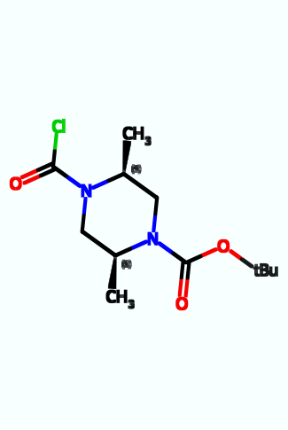 C[C@H]1CN(C(=O)OC(C)(C)C)[C@@H](C)CN1C(=O)Cl